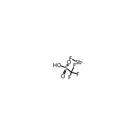 O=S(=O)(O)C(F)(F)F.[F][Sb]